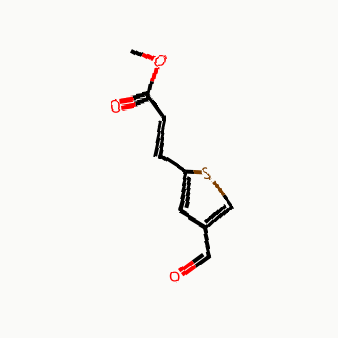 COC(=O)C=Cc1cc(C=O)cs1